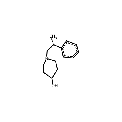 C[C@@H](CN1CCC(O)CC1)c1ccccc1